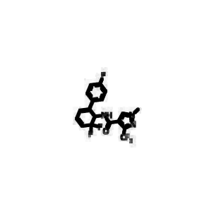 Cn1cc(C(=O)NC2C(c3ccc(F)cc3)=CC=CC2(F)F)c(C(F)(F)F)n1